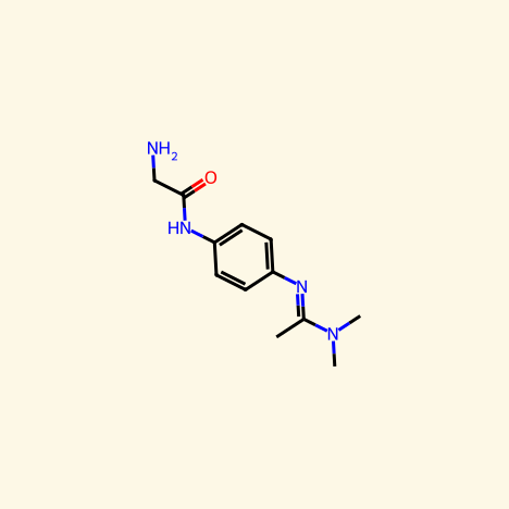 C/C(=N\c1ccc(NC(=O)CN)cc1)N(C)C